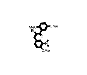 CCC(=Cc1ccc(OC)c(N(C)C)c1)C(=O)c1cc(OC)ccc1OC